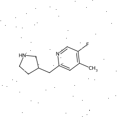 Cc1cc(CC2CCNC2)ncc1F